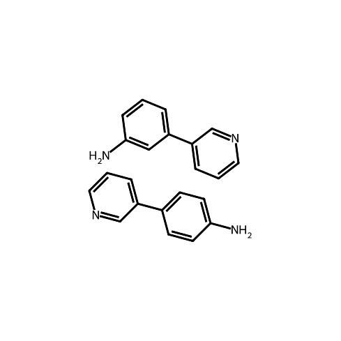 Nc1ccc(-c2cccnc2)cc1.Nc1cccc(-c2cccnc2)c1